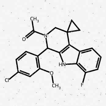 COc1cc(Cl)ccc1C1c2[nH]c3c(F)cccc3c2C2(CC2)CN1C(C)=O